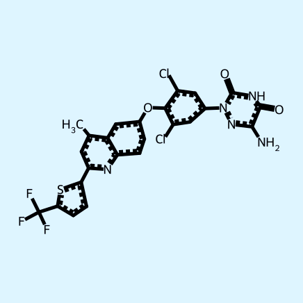 Cc1cc(-c2ccc(C(F)(F)F)s2)nc2ccc(Oc3c(Cl)cc(-n4nc(N)c(=O)[nH]c4=O)cc3Cl)cc12